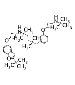 CC(C)(CCC(C)(C)N[C@H]1C[C@H](Oc2ccc3oc(C(C)(C)C)cc3c2)C1)Cc1cccc(OC2CC(NC(C)(C)C)C2)c1